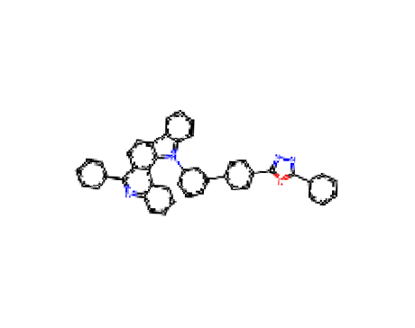 c1ccc(-c2nnc(-c3ccc(-c4cccc(-n5c6ccccc6c6ccc7c(-c8ccccc8)nc8ccccc8c7c65)c4)cc3)o2)cc1